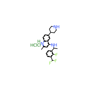 Cc1cc(NC(C)c2cccc(C(F)F)c2F)c2cc(C3CCNCC3)ccc2n1.Cl.Cl